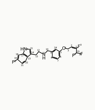 F/C(=C/COc1cccc(CNCCc2c[nH]c3cc(F)ccc23)c1)C(F)F